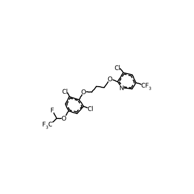 FC(Oc1cc(Cl)c(OCCCOc2ncc(C(F)(F)F)cc2Cl)c(Cl)c1)C(F)(F)F